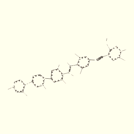 COc1cc(C)c(F)cc1C#Cc1cc(F)c(/C(F)=C(\F)c2c(F)cc(-c3ccc(-c4ccc(C)cc4F)cc3F)cc2F)c(F)c1